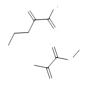 CCCC(=O)C(=O)O.COC(=O)C(C)=O